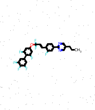 CCCc1cnc(-c2ccc(/C=C/C(F)(F)Oc3cc(F)c(-c4cc(F)c(F)c(F)c4)c(F)c3)c(F)c2)nc1